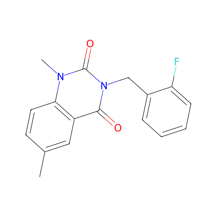 Cc1ccc2c(c1)c(=O)n(Cc1ccccc1F)c(=O)n2C